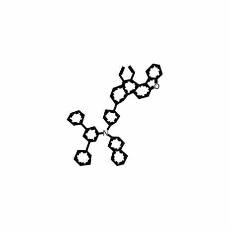 C=Cc1c(C=C)c2c(ccc3oc4ccccc4c32)c2cc(-c3ccc(N(c4cc(-c5ccccc5)cc(-c5ccccc5)c4)c4ccc5ccccc5c4)cc3)ccc12